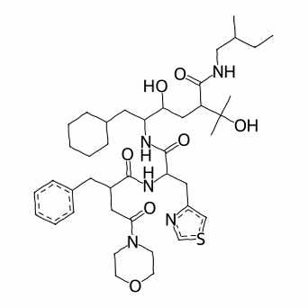 CCC(C)CNC(=O)C(CC(O)C(CC1CCCCC1)NC(=O)C(Cc1cscn1)NC(=O)C(CC(=O)N1CCOCC1)Cc1ccccc1)C(C)(C)O